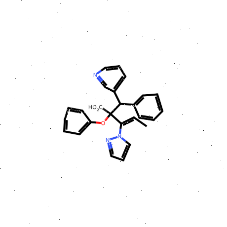 CC=C(n1cccn1)C(Oc1ccccc1)(C(=O)O)C(c1ccccc1)c1cccnc1